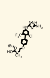 CN(CCOc1ccc(-c2c(Cl)cc(Nc3n[nH]c(N)n3)cc2C(F)(F)F)cc1)C(O)OC(C)(C)C